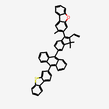 C=CC1=C(c2cc3oc4ccccc4c3cc2C)c2ccc(-c3c4ccccc4c(-c4ccc5c(c4)sc4ccccc45)c4ccccc34)cc2C1(C)C